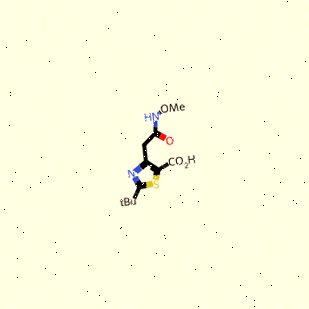 CONC(=O)Cc1nc(C(C)(C)C)sc1C(=O)O